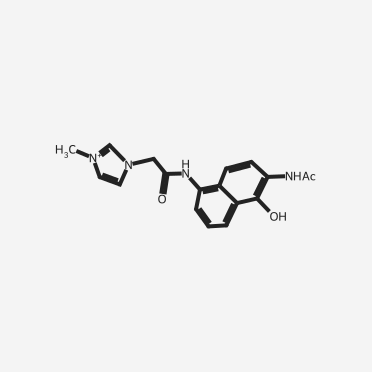 CC(=O)Nc1ccc2c(NC(=O)Cn3cc[n+](C)c3)cccc2c1O